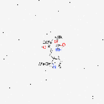 COC(=O)C(Cc1cccnc1OC)NC(=O)OC(C)(C)C